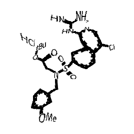 COc1cccc(CN(CC(=O)OC(C)(C)C)S(=O)(=O)c2ccc3c(Cl)cnc(NC(=N)N)c3c2)c1.Cl